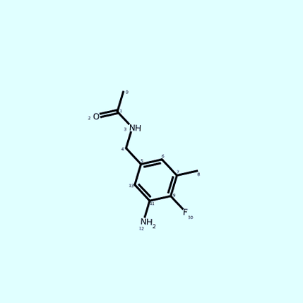 CC(=O)NCc1cc(C)c(F)c(N)c1